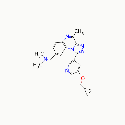 Cc1nc2ccc(CN(C)C)cc2n2c(-c3cncc(OCC4CC4)c3)nnc12